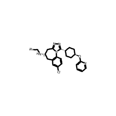 CC(C)CN[C@H]1Cc2cc(Cl)ccc2-n2c(nnc2[C@H]2CC[C@H](Oc3ccccn3)CC2)C1